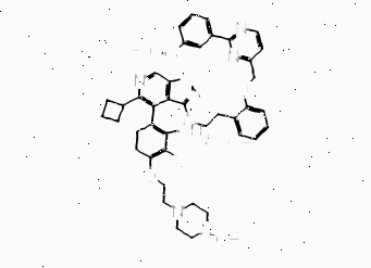 CC1=C(c2c(C3CCC3)ncc3snc(O[C@H](Cc4ccccc4OCc4ccnc(-c5cccc(OC(F)(F)F)c5)n4)C(=O)O)c23)CCC(OCCN2CCN(C)CC2)=C1Cl